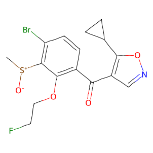 C[S+]([O-])c1c(Br)ccc(C(=O)c2cnoc2C2CC2)c1OCCF